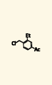 CCc1cc(C(C)=O)ccc1CCl